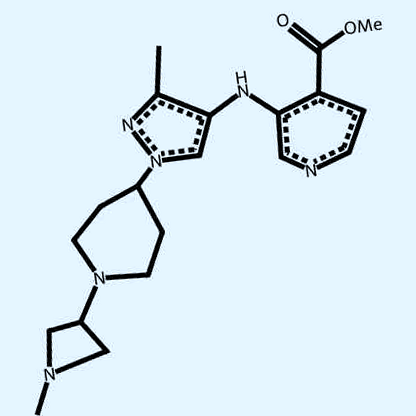 COC(=O)c1ccncc1Nc1cn(C2CCN(C3CN(C)C3)CC2)nc1C